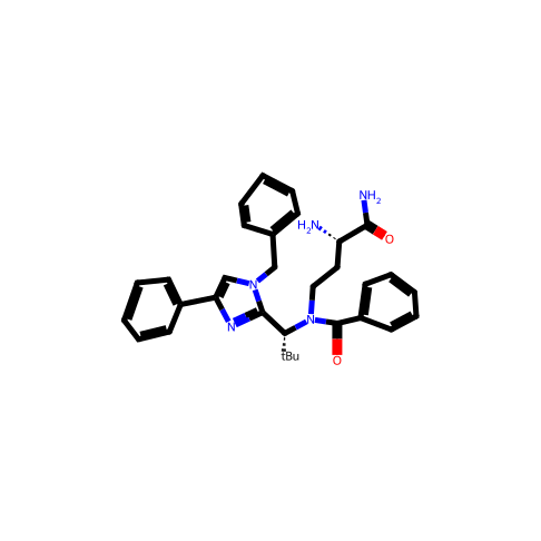 CC(C)(C)[C@H](c1nc(-c2ccccc2)cn1Cc1ccccc1)N(CC[C@H](N)C(N)=O)C(=O)c1ccccc1